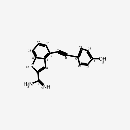 N=C(N)c1cc2c(C#Cc3ccc(O)cc3)cccc2s1